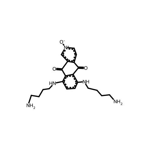 NCCCCNc1ccc(NCCCCN)c2c1C(=O)c1cc[n+]([O-])cc1C2=O